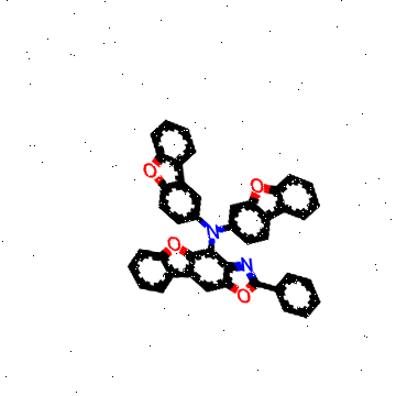 c1ccc(-c2nc3c(N(c4ccc5c(c4)oc4ccccc45)c4ccc5oc6ccccc6c5c4)c4oc5ccccc5c4cc3o2)cc1